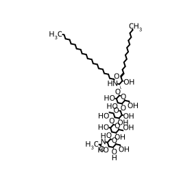 CCCCCCCCCCCCC/C=C/[C@@H](O)[C@H](CO[C@@H]1OC(CO)[C@@H](O[C@@H]2OC(CO)[C@H](O[C@@H]3OC(CO)[C@H](O)[C@H](O[C@@H]4OC(CO)[C@H](O)[C@H](O)C4NC(C)=O)C3O)[C@H](O)C2O)[C@H](O)C1O)NC(=O)CCCCCCCCCCCCCCCCCCC